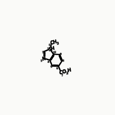 C[SH]1C=Nc2cc(C(=O)O)ccc21